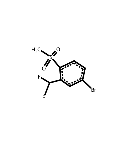 CS(=O)(=O)c1ccc(Br)cc1C(F)F